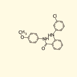 COc1ccc(NC(=O)c2ccccc2Nc2cccc(Cl)c2)cc1